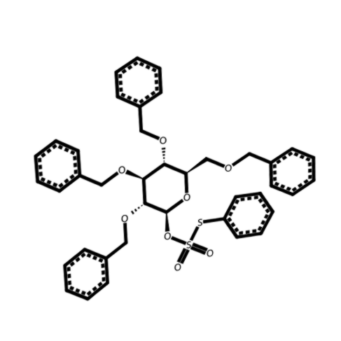 O=S(=O)(O[C@@H]1O[C@H](COCc2ccccc2)[C@@H](OCc2ccccc2)[C@H](OCc2ccccc2)[C@H]1OCc1ccccc1)Sc1ccccc1